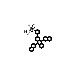 CCP(=O)(CC)c1cccc(-c2ccc3c(-c4ccc5ccccc5c4)c4ccccc4c(-c4ccc5ccccc5c4)c3c2)c1